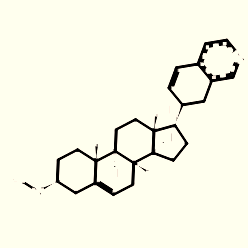 CC(C)(C)N[C@H]1CC[C@@]2(C)C(=CC[C@H]3[C@@H]4CC[C@H](C5C=Cc6ccncc6C5)[C@@]4(C)CC[C@@H]32)C1